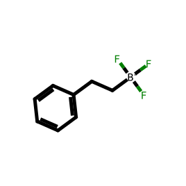 F[B-](F)(F)CCc1ccccc1